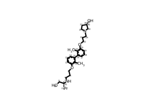 Cc1c(OCCCN[C@H](CO)C(C)C)cccc1-c1cccc(OCCCN2CC[C@@H](O)C2)c1C